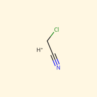 N#CCCl.[H+]